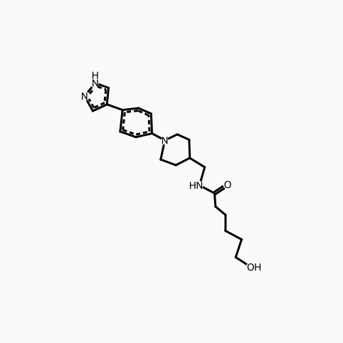 O=C(CCCCCO)NCC1CCN(c2ccc(-c3cn[nH]c3)cc2)CC1